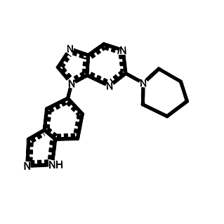 c1cc2[nH]ncc2cc1-n1cnc2cnc(N3CCCCC3)nc21